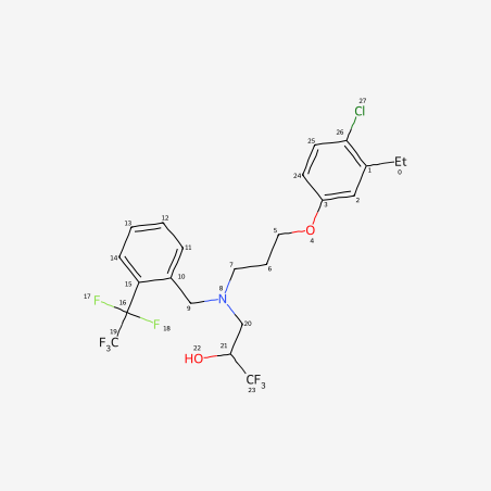 CCc1cc(OCCCN(Cc2ccccc2C(F)(F)C(F)(F)F)CC(O)C(F)(F)F)ccc1Cl